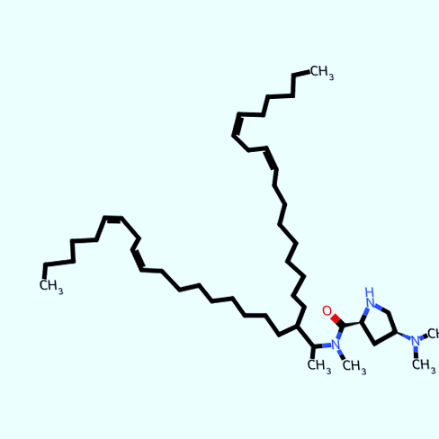 CCCCC/C=C\C/C=C\CCCCCCCCC(CCCCCCCC/C=C\C/C=C\CCCCC)C(C)N(C)C(=O)[C@@H]1C[C@H](N(C)C)CN1